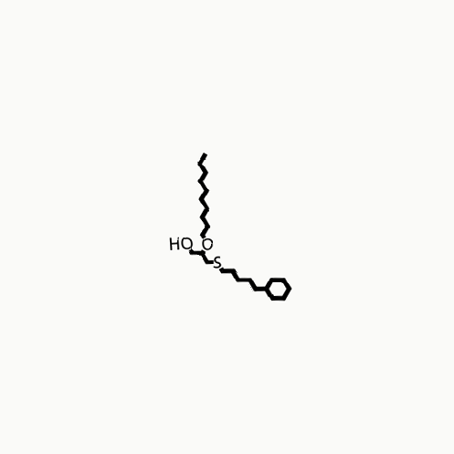 CCCCCCCCCCOC(CO)CSCCCCCC1CCCCC1